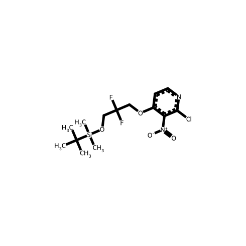 CC(C)(C)[Si](C)(C)OCC(F)(F)COc1ccnc(Cl)c1[N+](=O)[O-]